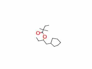 CCC(CC1CCCCC1)OC(=O)C(C)(C)CC